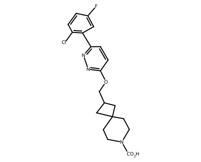 O=C(O)N1CCC2(CC1)CC(COc1ccc(-c3cc(F)ccc3Cl)nn1)C2